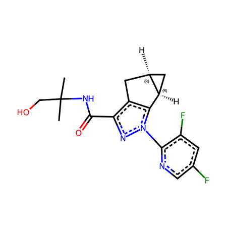 CC(C)(CO)NC(=O)c1nn(-c2ncc(F)cc2F)c2c1C[C@H]1C[C@@H]21